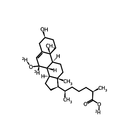 [2H]OC(=O)[C@H](C)CCC[C@@H](C)[C@H]1CC[C@H]2[C@H]3[C@H](CC[C@]12C)[C@@]1(C)CC[C@H](O)CC1=C[C@@]3([2H])O[2H]